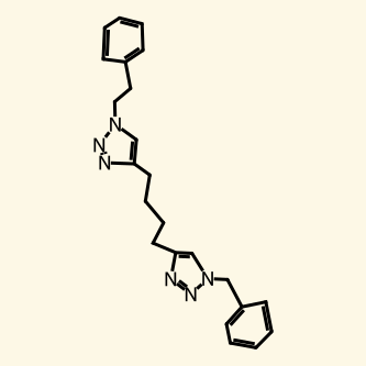 c1ccc(CCn2cc(CCCCc3cn(Cc4ccccc4)nn3)nn2)cc1